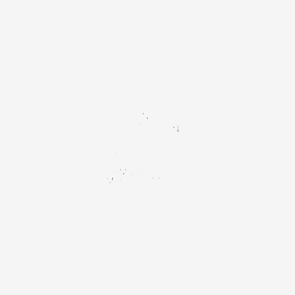 COC(=O)C(F)(CC([N+](=O)[O-])[N+](=O)[O-])C(=O)OC